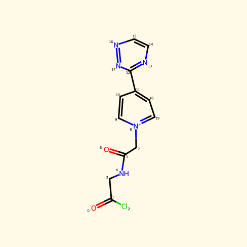 O=C(Cl)CNC(=O)C[n+]1ccc(-c2nccnn2)cc1